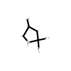 CC1COC(F)(F)C1